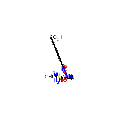 NC(=O)C(CSSCC(C=O)NP)NC(=O)C(Cc1cnc[nH]1)NCCOONC(=O)CCCCCCCCCCCCCCCCCCCCCC(=O)O